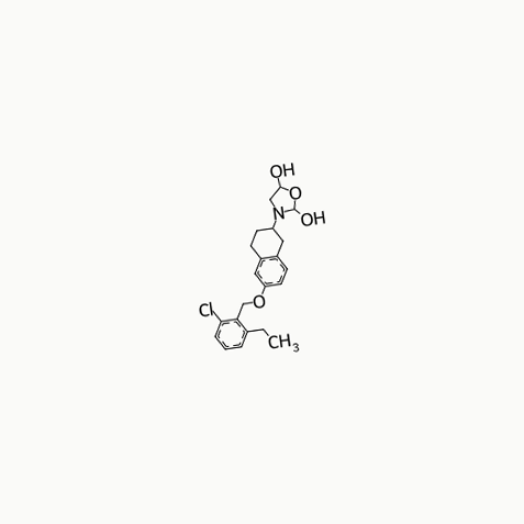 CCc1cccc(Cl)c1COc1ccc2c(c1)CCC(N1CC(O)OC1O)C2